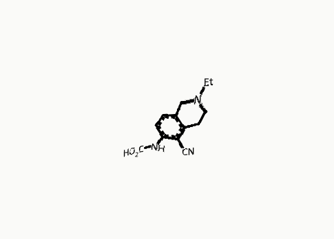 CCN1CCc2c(ccc(NC(=O)O)c2C#N)C1